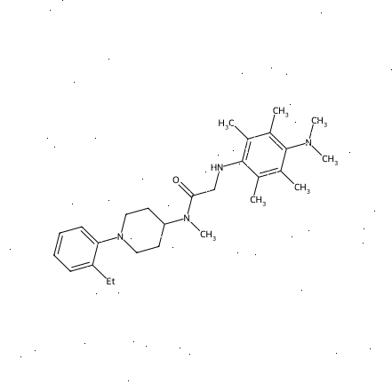 CCc1ccccc1N1CCC(N(C)C(=O)CNc2c(C)c(C)c(N(C)C)c(C)c2C)CC1